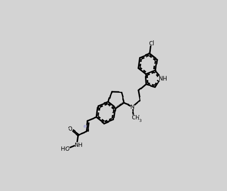 CN(CCc1c[nH]c2cc(Cl)ccc12)C1CCc2cc(/C=C/C(=O)NO)ccc21